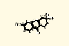 CCC1(CC)CCc2c(sc3cc(C#N)ccc3c2=O)C1